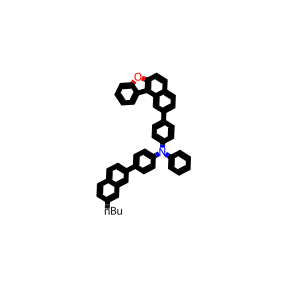 CCCCc1ccc2ccc(-c3ccc(N(c4ccccc4)c4ccc(-c5ccc6ccc7oc8ccccc8c7c6c5)cc4)cc3)cc2c1